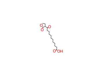 O=C(O)CCCCCCCCCCC(=O)C1CCOC1=O